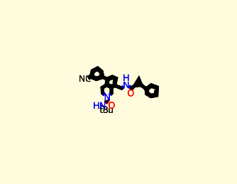 CC(C)(C)NC(=O)N1CCc2c(-c3cccc(C#N)c3)ccc(CNC(=O)C3CC3c3ccccc3)c2C1